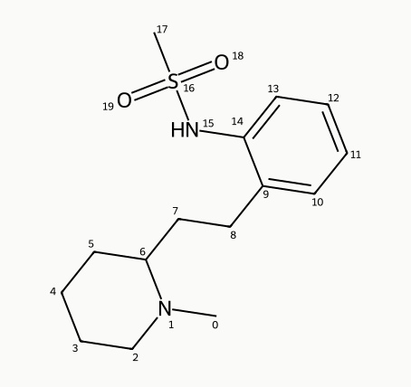 CN1CCCCC1CCc1ccccc1NS(C)(=O)=O